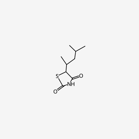 CC(C)CC(C)C1SC(=O)NC1=O